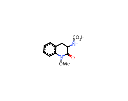 CON1C(=O)C(NC(=O)O)Cc2ccccc21